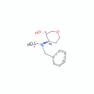 O=C(O)N(Cc1ccccc1)[C@@H]1CCOC[C@H]1O